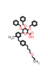 C=CCOCCCCc1ccc(Cc2cc([C@@H]3O[C@@H](C(=O)O)[C@H](OCc4ccccc4)[C@H](OCc4ccccc4)[C@H]3OCc3ccccc3)ccc2C)cc1